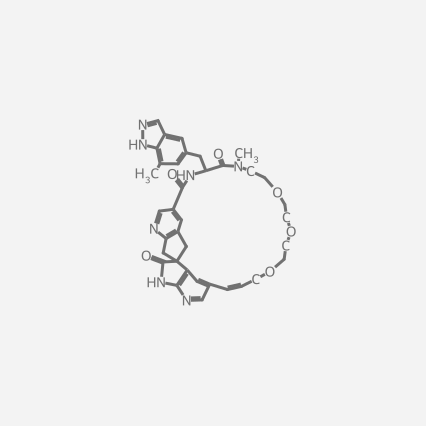 Cc1cc(CC2NC(=O)c3cnc4c(c3)CC3(C4)C(=O)Nc4ncc(cc43)C=CCOCCOCCOCCN(C)C2=O)cc2cn[nH]c12